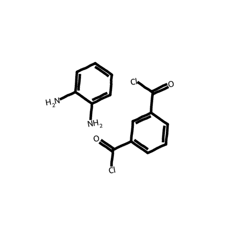 Nc1ccccc1N.O=C(Cl)c1cccc(C(=O)Cl)c1